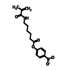 C=C(C)C(=O)NCCCCCC(=O)Oc1ccc([N+](=O)[O-])cc1